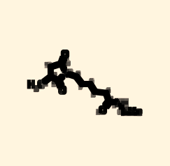 CNNC(=O)CCCCCN1C(=O)CC(C)C1=O